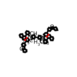 Cc1cc(-c2ccc(N(c3ccc(-c4ccc5oc6ccccc6c5c4)cc3)c3c(C)cccc3-c3cccc4ccccc34)c(C)c2)ccc1N(c1ccc(-c2ccc3oc4ccccc4c3c2)cc1)c1c(C)cccc1-c1cccc2ccccc12